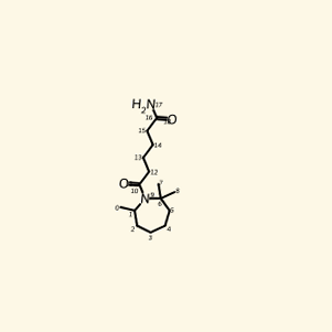 CC1CCCCC(C)(C)N1C(=O)CCCCC(N)=O